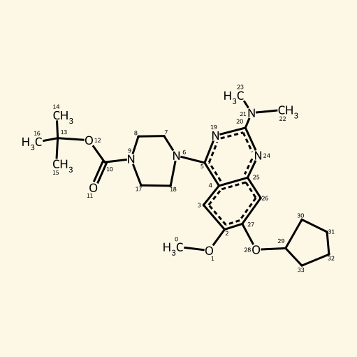 COc1cc2c(N3CCN(C(=O)OC(C)(C)C)CC3)nc(N(C)C)nc2cc1OC1CCCC1